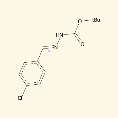 CC(C)(C)OC(=O)N/N=C/c1ccc(Cl)cc1